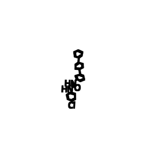 O=C(Nc1ccc(Cl)cc1)Nc1cccc(-c2ccc(-c3ccccc3)cc2)c1